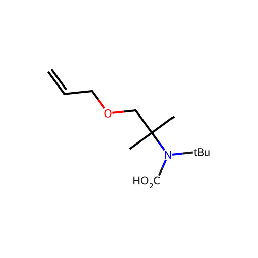 C=CCOCC(C)(C)N(C(=O)O)C(C)(C)C